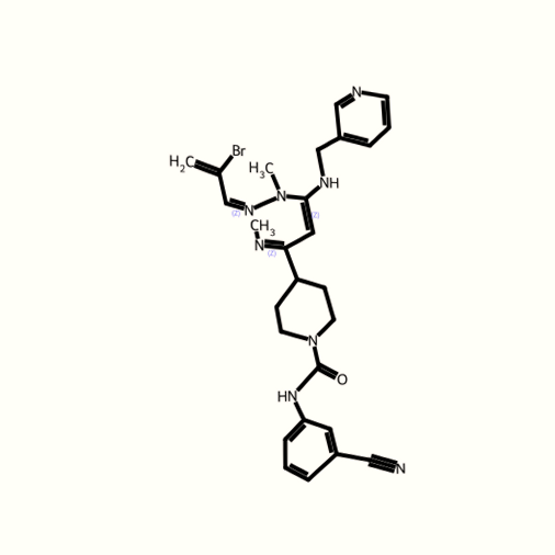 C=C(Br)/C=N\N(C)/C(=C\C(=N/C)C1CCN(C(=O)Nc2cccc(C#N)c2)CC1)NCc1cccnc1